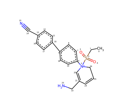 CCS(=O)(=O)[N+]1(c2ccc(-c3ccc(C#N)cc3)cc2)C=C(CN)C=CC1